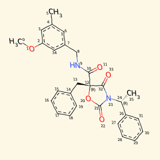 COc1cc(C)cc(CNC(=O)[C@@]2(Cc3ccccc3)OC(=O)N([C@H](C)c3ccccc3)C2=O)c1